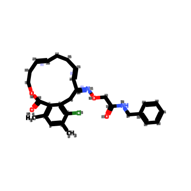 Cc1cc(C)c2c(c1Cl)CC(=N\OCC(=O)NCc1ccccc1)/C=C/CC/C=C/CCOC2=O